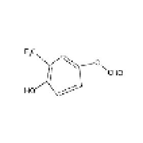 O=COc1ccc(O)c(C(F)(F)F)c1